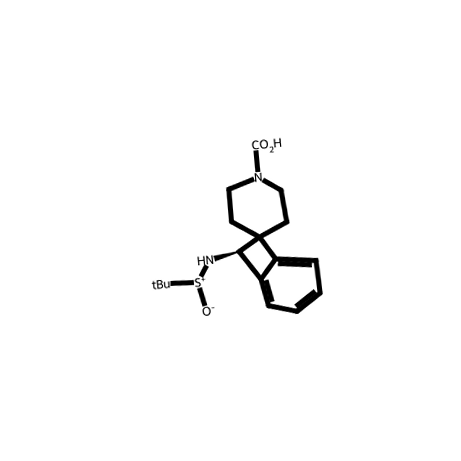 CC(C)(C)[S+]([O-])N[C@@H]1c2ccccc2C12CCN(C(=O)O)CC2